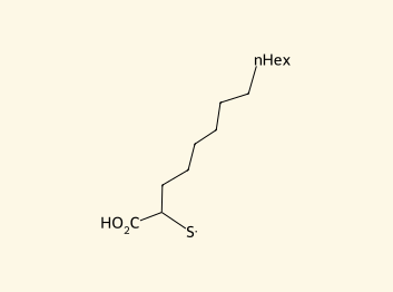 CCCCCCCCCCCCC([S])C(=O)O